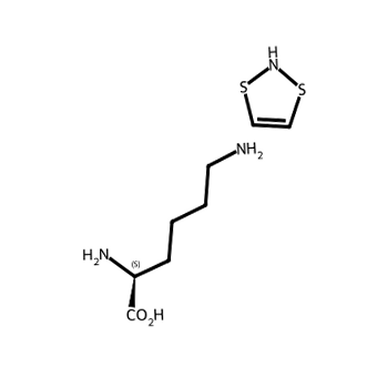 C1=CSNS1.NCCCC[C@H](N)C(=O)O